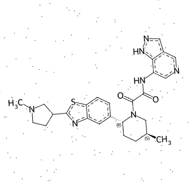 C[C@H]1CC[C@H](c2ccc3sc(C4CCN(C)C4)nc3c2)N(C(=O)C(=O)Nc2cncc3cn[nH]c23)C1